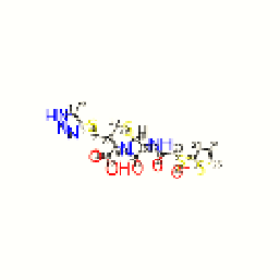 Cc1[nH]nnc1SCC1=C(C(=O)O)N2C(=O)C(NC(=O)C[S+]([O-])c3cccs3)[C@H]2SC1